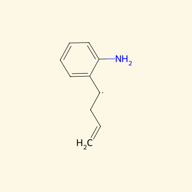 C=CC[CH]c1ccccc1N